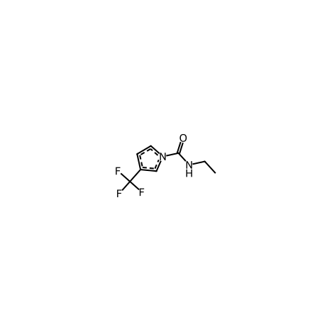 CCNC(=O)n1ccc(C(F)(F)F)c1